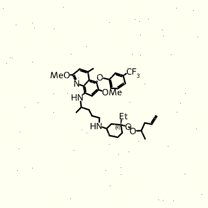 C=CCC(C)OO[C@]1(CC)CCCC(NCCCC(C)Nc2cc(OC)c(Oc3cccc(C(F)(F)F)c3)c3c(C)cc(OC)nc23)C1